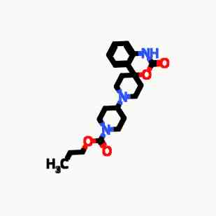 CCCOC(=O)N1CCC(N2CCC3(CC2)OC(=O)Nc2ccccc23)CC1